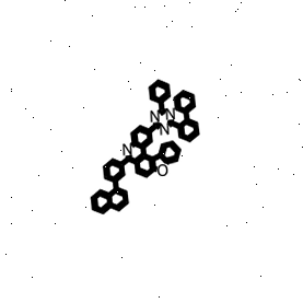 c1ccc(-c2nc(-c3ccc4nc(-c5cccc(-c6cccc7ccccc67)c5)c5ccc6oc7ccccc7c6c5c4c3)nc(-c3ccccc3-c3ccccc3)n2)cc1